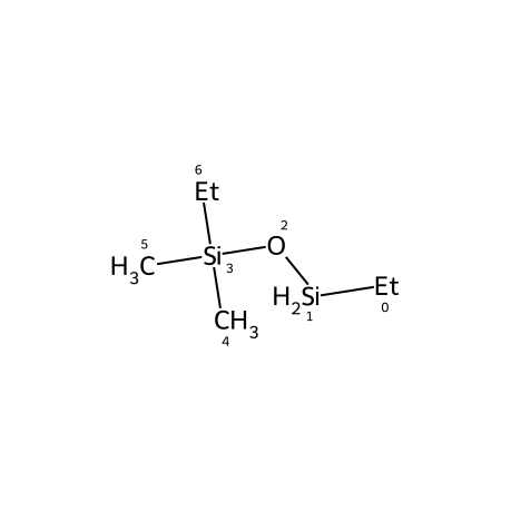 CC[SiH2]O[Si](C)(C)CC